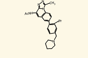 CC(=O)Nc1cc2cc(-c3ccc(CN4CCCCC4)cc3C(C)C)ccc2n2c(C)nnc12